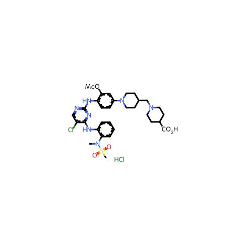 COc1cc(N2CCC(CN3CCC(C(=O)O)CC3)CC2)ccc1Nc1ncc(Cl)c(Nc2ccccc2N(C)S(C)(=O)=O)n1.Cl